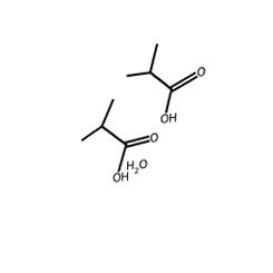 CC(C)C(=O)O.CC(C)C(=O)O.O